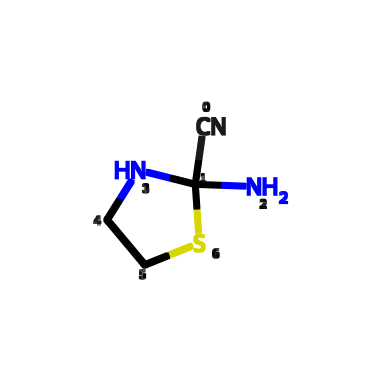 N#CC1(N)NCCS1